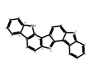 c1ccc2c(c1)=Nc1ccc3c(c1=2)=Nc1ccc2c([nH]c4ccccc42)c1-3